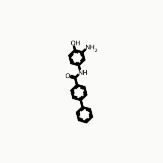 Nc1cc(NC(=O)c2ccc(-c3ccccc3)cc2)ccc1O